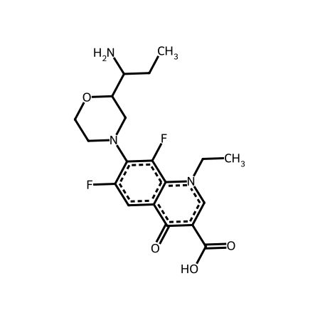 CCC(N)C1CN(c2c(F)cc3c(=O)c(C(=O)O)cn(CC)c3c2F)CCO1